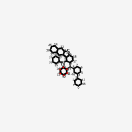 c1ccc(-c2cccc(C(c3ccccc3)c3ccc4sc5cc6ccccc6cc5c4c3N(c3ccccc3)c3ccccc3)c2)cc1